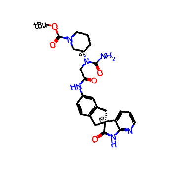 CC(C)(C)OC(=O)N1CCC[C@H](N(CC(=O)Nc2ccc3c(c2)C[C@@]2(C3)C(=O)Nc3ncccc32)C(N)=O)C1